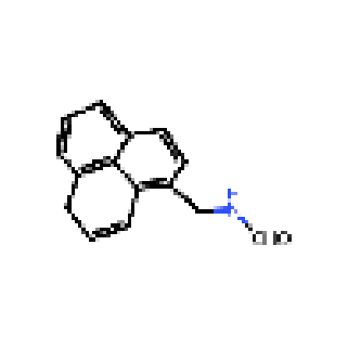 O=CNCc1ccc2cccc3c2c1C=CC3